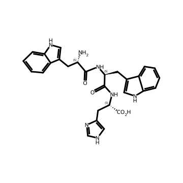 N[C@@H](Cc1c[nH]c2ccccc12)C(=O)N[C@@H](Cc1c[nH]c2ccccc12)C(=O)N[C@@H](Cc1c[nH]cn1)C(=O)O